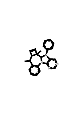 CC1c2ccccc2N2c3ncncc3N(c3ccccc3)C2C2(C)C=CC12